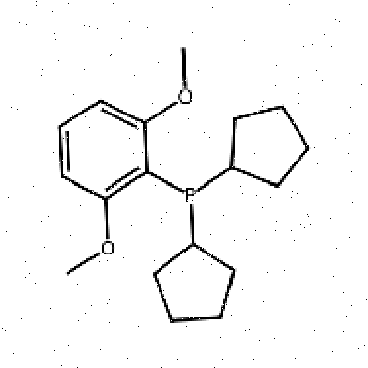 COc1cccc(OC)c1P(C1CCCC1)C1CCCC1